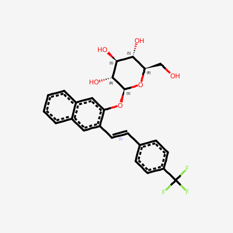 OC[C@H]1O[C@@H](Oc2cc3ccccc3cc2/C=C/c2ccc(C(F)(F)F)cc2)[C@H](O)[C@@H](O)[C@@H]1O